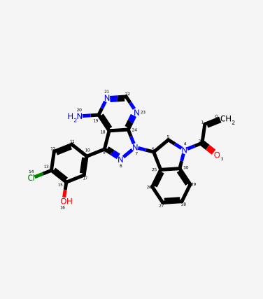 C=CC(=O)N1CC(n2nc(-c3ccc(Cl)c(O)c3)c3c(N)ncnc32)c2ccccc21